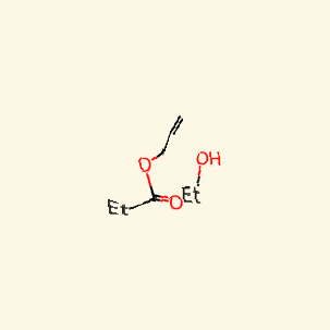 C=CCOC(=O)CC.CCO